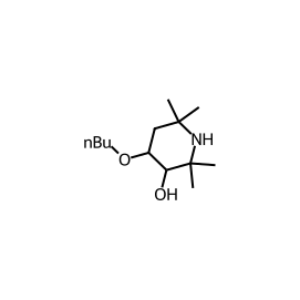 CCCCOC1CC(C)(C)NC(C)(C)C1O